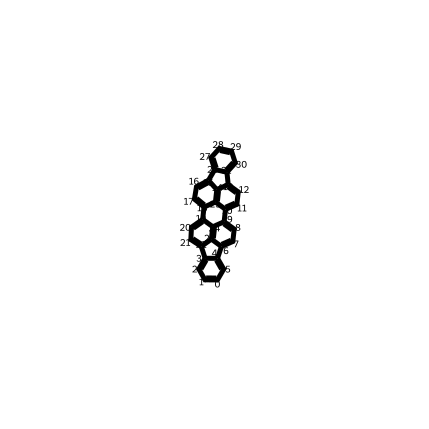 c1ccc2c(c1)-c1ccc3c4ccc5c6c(ccc(c7ccc-2c1c37)c64)-c1ccccc1-5